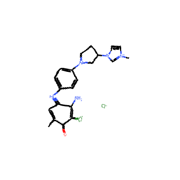 CC1=C/C(=N/c2ccc(N3CCC(n4cc[n+](C)c4)C3)cc2)C(N)=C(Cl)C1=O.[Cl-]